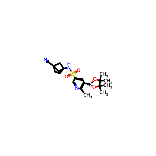 Cc1ncc(S(=O)(=O)NC23CCC(C#N)(C2)C3)cc1B1OC(C)(C)C(C)(C)O1